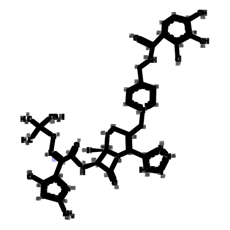 CC(C)(O/N=C(\C(=O)N[C@@H]1C(=O)N2C(c3nnn[nH]3)=C(C[n+]3ccc(CNC(=O)c4ccc(O)c(O)c4Cl)cc3)CS[C@H]12)c1nc(N)sc1Cl)C(=O)O